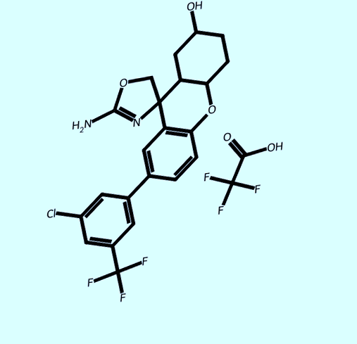 NC1=NC2(CO1)c1cc(-c3cc(Cl)cc(C(F)(F)F)c3)ccc1OC1CCC(O)CC12.O=C(O)C(F)(F)F